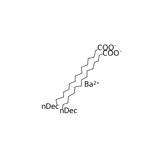 CCCCCCCCCCCCCCCCCCCCCCCC(=O)[O-].CCCCCCCCCCCCCCCCCCCCCCCC(=O)[O-].[Ba+2]